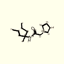 CCCC(C)(CCC)NC(=O)CN1CCCC1